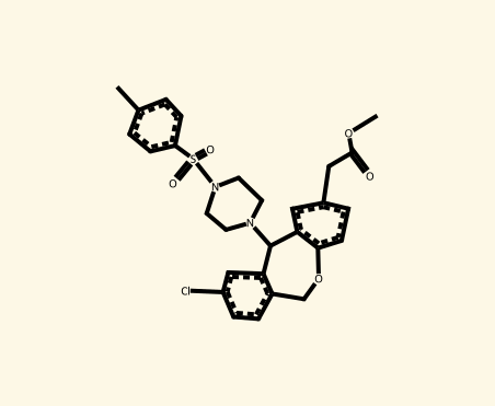 COC(=O)Cc1ccc2c(c1)C(N1CCN(S(=O)(=O)c3ccc(C)cc3)CC1)c1cc(Cl)ccc1CO2